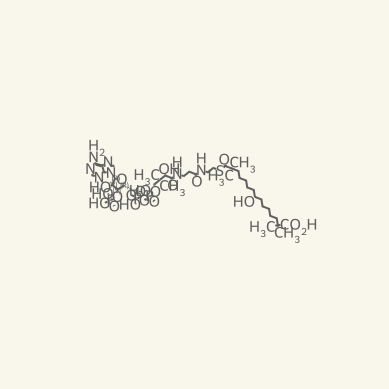 CC(C)(CCCCCC(O)CCCCCC(C)(C)C(=O)SCCNC(=O)CCNC(=O)C(O)C(C)(C)COP(=O)(O)OP(=O)(O)OC[C@H]1O[C@@H](n2cnc3c(N)ncnc32)[C@H](O)[C@@H]1OP(=O)(O)O)C(=O)O